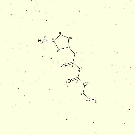 CCOC(=O)CC(=O)CC1CCC(C)C1